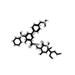 CCCC(CC)C1(C)CC(C)C(CNC(=O)c2cc(-c3ccc(CN(C)C)cc3)cc(N(C)C3CCCCC3)c2C)C(=O)N1C